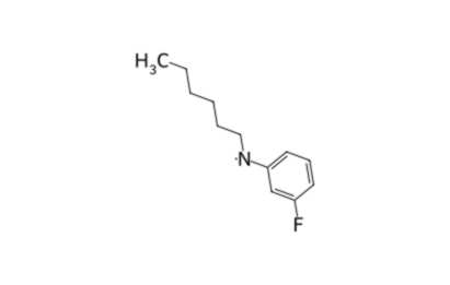 CCCCCC[N]c1cccc(F)c1